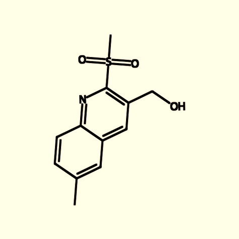 Cc1ccc2nc(S(C)(=O)=O)c(CO)cc2c1